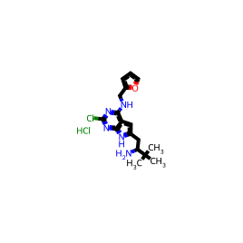 CC(C)(C)C(N)Cc1cc2c(NCc3ccco3)nc(Cl)nc2[nH]1.Cl